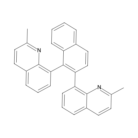 Cc1ccc2cccc(-c3ccc4ccccc4c3-c3cccc4ccc(C)nc34)c2n1